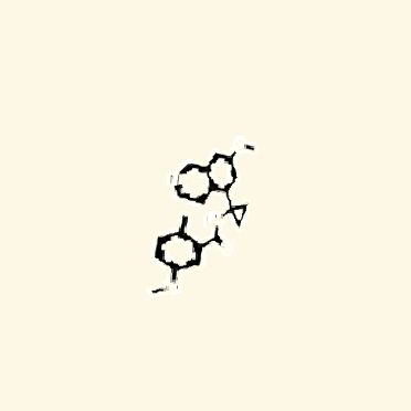 COc1ccc(C)c(C(=O)NC2(c3cc(OC)cc4cnccc34)CC2)c1